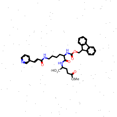 COC(=O)CCC(NC(=O)C(CCCCNC(=O)/C=C/c1cccnc1)NC(=O)OCC1c2ccccc2-c2ccccc21)C(=O)O